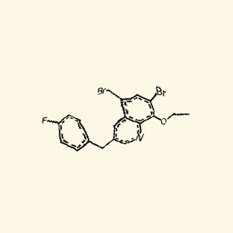 CCOc1c(Br)cc(Br)c2cc(Cc3ccc(F)cc3)cnc12